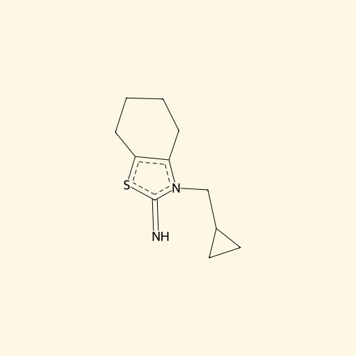 N=c1sc2c(n1CC1CC1)CCCC2